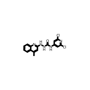 Cc1cc(NNC(=O)Nc2cc(Cl)nc(Cl)c2)nc2ccccc12